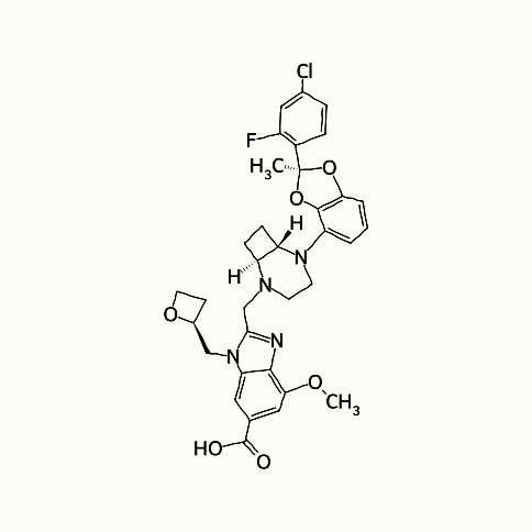 COc1cc(C(=O)O)cc2c1nc(CN1CCN(c3cccc4c3O[C@@](C)(c3ccc(Cl)cc3F)O4)[C@H]3CC[C@@H]31)n2C[C@@H]1CCO1